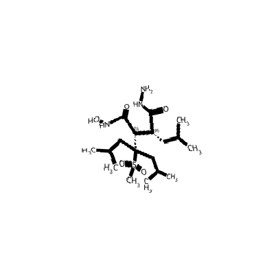 CC(C)C[C@@H](C(=O)NN)[C@@H](C(=O)NO)C(CC(C)C)(CC(C)C)S(C)(=O)=O